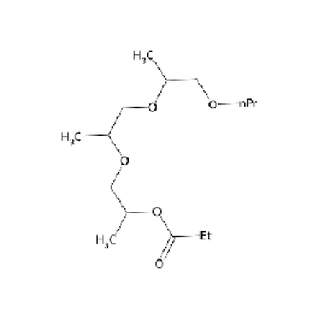 CCCOCC(C)OCC(C)OCC(C)OC(=O)CC